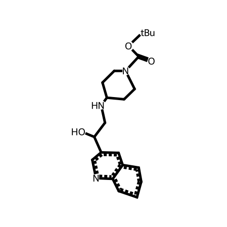 CC(C)(C)OC(=O)N1CCC(NCC(O)c2cnc3ccccc3c2)CC1